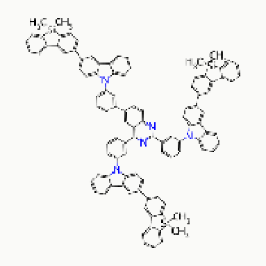 C[Si]1(C)c2ccccc2-c2cc(-c3ccc4c(c3)c3ccccc3n4-c3cccc(-c4ccc5nc(-c6cccc(-n7c8ccccc8c8cc(-c9ccc%10c(c9)-c9ccccc9[Si]%10(C)C)ccc87)c6)nc(-c6cccc(-n7c8ccccc8c8cc(-c9ccc%10c(c9)-c9ccccc9[Si]%10(C)C)ccc87)c6)c5c4)c3)ccc21